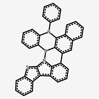 c1ccc(N2c3ccccc3B3c4c(cc5ccccc5c42)-c2cccc4c5c6ccccc6sc5n3c24)cc1